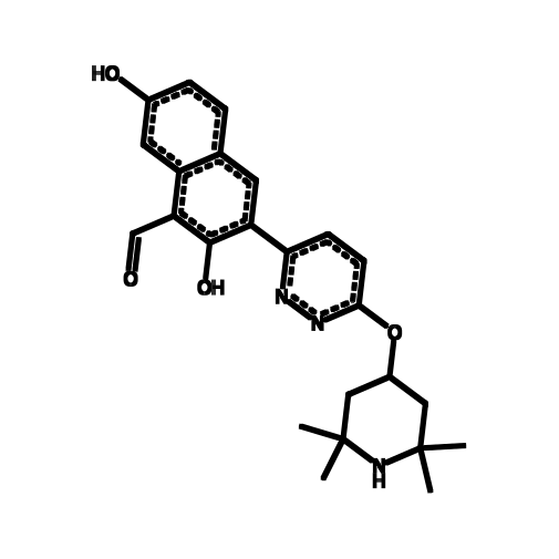 CC1(C)CC(Oc2ccc(-c3cc4ccc(O)cc4c(C=O)c3O)nn2)CC(C)(C)N1